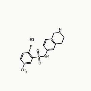 Cc1ccc(F)c(S(=O)(=O)Nc2ccc3c(c2)CCNC3)c1.Cl